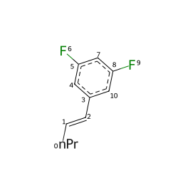 CCC/C=C/c1cc(F)cc(F)c1